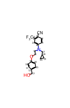 N#Cc1ccc(N(CCOc2ccc(CO)cc2)CC2CC2)cc1C(F)(F)F